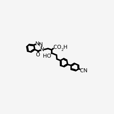 N#Cc1ccc(-c2ccc(CCC(O)C(CCn3nnc4ccccc4c3=O)C(=O)O)cc2)cc1